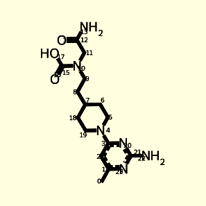 Cc1cc(N2CCC(CCN(CC(N)=O)C(=O)O)CC2)nc(N)n1